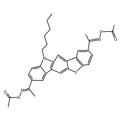 CCCCCCn1c2ccc(/C(C)=N/OC(C)=O)cc2c2cc3sc4ccc(/C(C)=N/OC(C)=O)cc4c3cc21